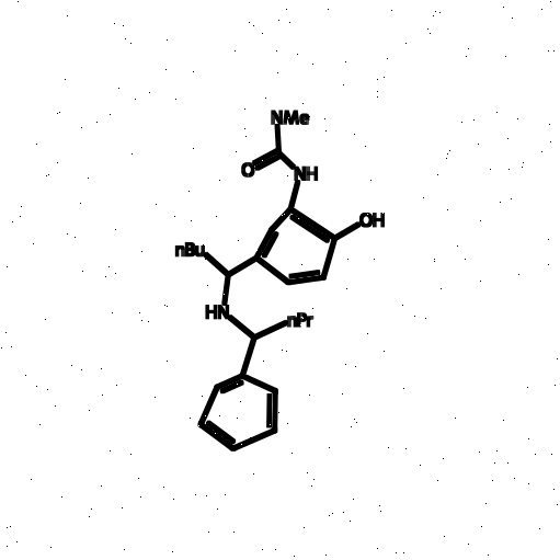 CCCCC(NC(CCC)c1ccccc1)c1ccc(O)c(NC(=O)NC)c1